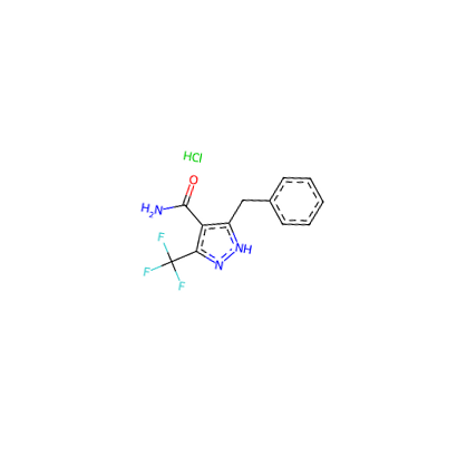 Cl.NC(=O)c1c(C(F)(F)F)n[nH]c1Cc1ccccc1